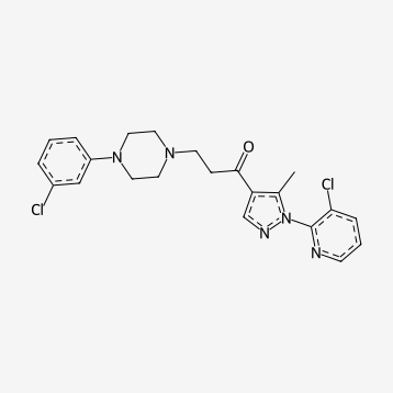 Cc1c(C(=O)CCN2CCN(c3cccc(Cl)c3)CC2)cnn1-c1ncccc1Cl